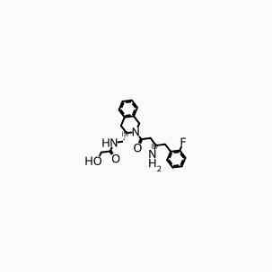 N[C@@H](CC(=O)N1Cc2ccccc2C[C@H]1CNC(=O)CO)Cc1ccccc1F